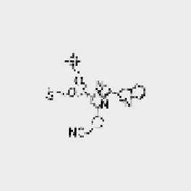 C[Si](C)(C)CCOCN(COCC[Si](C)(C)C)c1cc(C2CCC(CC#N)C2)nc2c(-c3cnc4ccccc4c3)cnn12